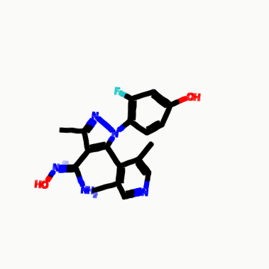 Cc1cncc(C)c1-c1c(/C(N)=N/O)c(C)nn1-c1ccc(O)cc1F